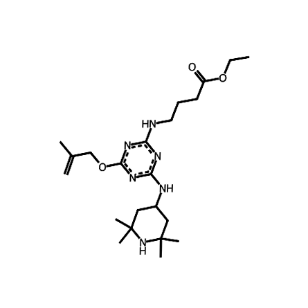 C=C(C)COc1nc(NCCCC(=O)OCC)nc(NC2CC(C)(C)NC(C)(C)C2)n1